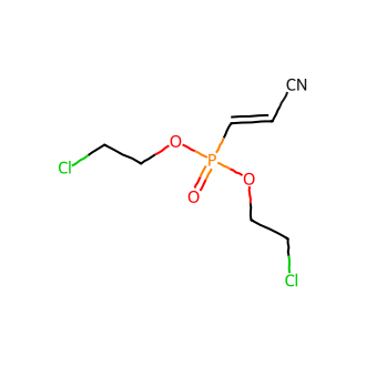 N#C/C=C/P(=O)(OCCCl)OCCCl